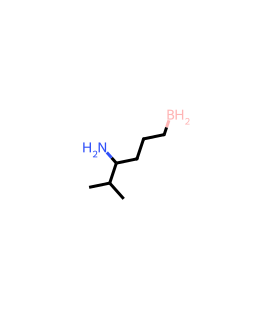 BCCCC(N)C(C)C